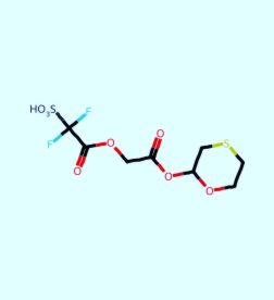 O=C(COC(=O)C(F)(F)S(=O)(=O)O)OC1CSCCO1